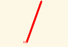 CCCOCCOCCOCCOCCOCCOCCOCCOCCOCCOCCOCCOCCOCCOCCOCCOCCOCCOCCOCCOCCOCCOCCOCCOCCOCCOCCOCCOCCOCCOCCOCCOCCOCCOCCOCCOCCOCCOCCOCCO